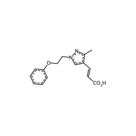 Cc1nn(CCOc2ccccc2)cc1C=CC(=O)O